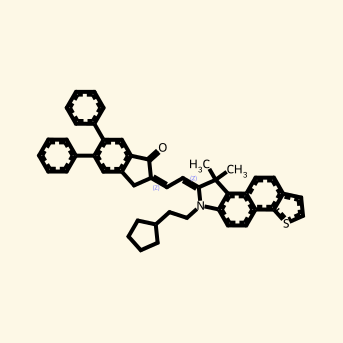 CC1(C)/C(=C/C=C2/Cc3cc(-c4ccccc4)c(-c4ccccc4)cc3C2=O)N(CCC2CCCC2)c2ccc3c(ccc4ccsc43)c21